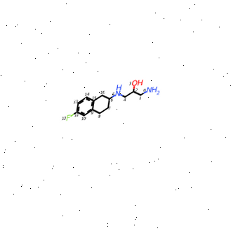 NCC(O)CNC1CCc2cc(F)ccc2C1